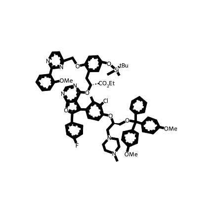 CCOC(=O)[C@@H](Cc1cc(O[Si](C)(C)C(C)(C)C)ccc1OCc1ccnc(-c2ccccc2OC)n1)Oc1ncnc2oc(-c3ccc(F)cc3)c(-c3ccc(O[C@@H](COC(c4ccccc4)(c4ccc(OC)cc4)c4ccc(OC)cc4)CN4CCN(C)CC4)c(Cl)c3C)c12